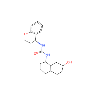 O=C(NC1CCCC2CCC(O)CC21)N[C@H]1CCOc2ccccc21